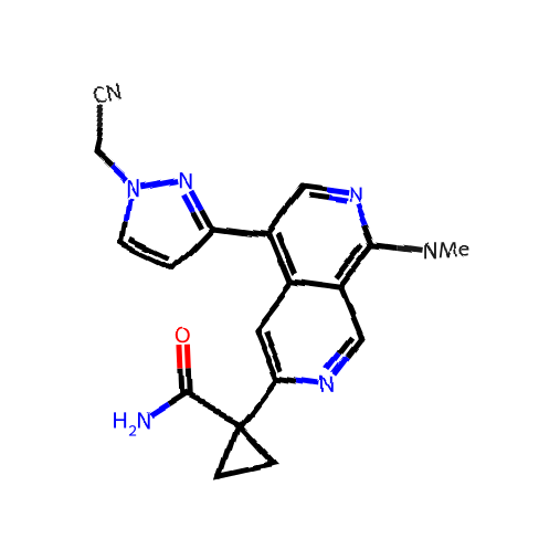 CNc1ncc(-c2ccn(CC#N)n2)c2cc(C3(C(N)=O)CC3)ncc12